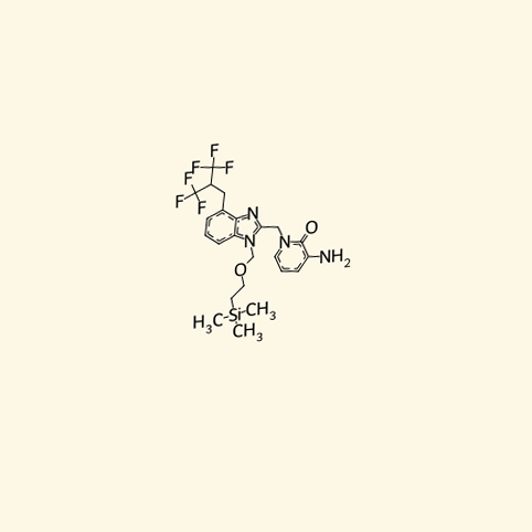 C[Si](C)(C)CCOCn1c(Cn2cccc(N)c2=O)nc2c(CC(C(F)(F)F)C(F)(F)F)cccc21